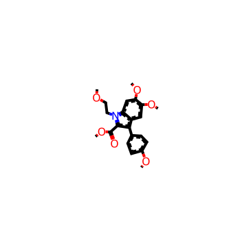 COCCn1c(C(=O)OC)c(-c2ccc(OC)cc2)c2cc(OC)c(OC)cc21